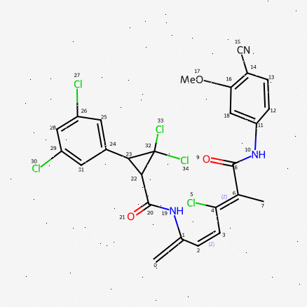 C=C(/C=C\C(Cl)=C(/C)C(=O)Nc1ccc(C#N)c(OC)c1)NC(=O)C1C(c2cc(Cl)cc(Cl)c2)C1(Cl)Cl